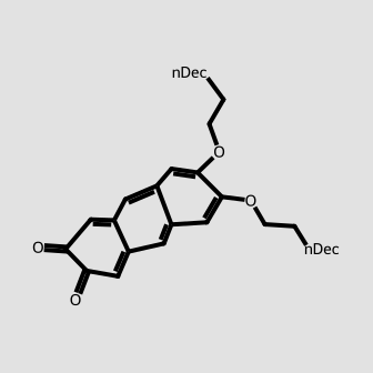 CCCCCCCCCCCCOc1cc2cc3c(cc2cc1OCCCCCCCCCCCC)=CC(=O)C(=O)C=3